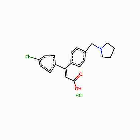 Cl.O=C(O)/C=C(/c1ccc(Cl)cc1)c1ccc(CN2CCCC2)cc1